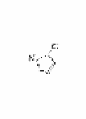 [CH2]CC1C=CC=C1.[Ni]